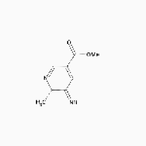 COC(=O)C1=CC(=N)C(C)N=C1